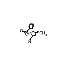 CC=C1CNC(C#N)C1.O=C1OC1c1ccccc1